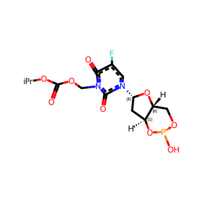 CC(C)OC(=O)OCn1c(=O)c(F)cn([C@H]2C[C@@H]3OP(O)OC[C@H]3O2)c1=O